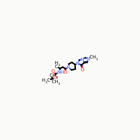 CC(CC(=O)N1CCC(N2CN3CN(C)C=C3C2=O)CC1)NC(=O)OC(C)(C)C